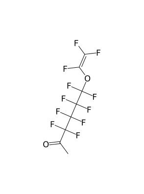 CC(=O)C(F)(F)C(F)(F)C(F)(F)C(F)(F)OC(F)=C(F)F